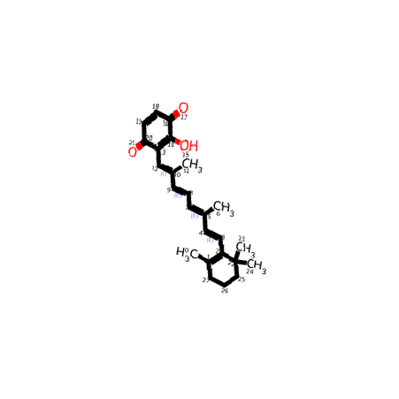 CC1=C(/C=C/C(C)=C/C=C/C(C)=C/C2=C(O)C(=O)C=CC2=O)C(C)(C)CCC1